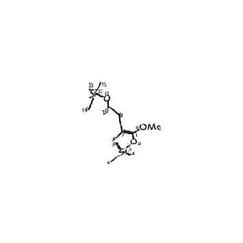 COC(O[Si](C)(C)C)=C(C)CCO[Si](C)(C)C